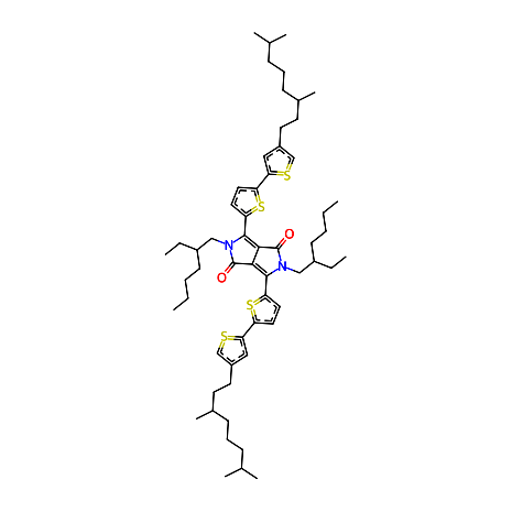 CCCCC(CC)CN1C(=O)C2=C(c3ccc(-c4cc(CCC(C)CCCC(C)C)cs4)s3)N(CC(CC)CCCC)C(=O)C2=C1c1ccc(-c2cc(CCC(C)CCCC(C)C)cs2)s1